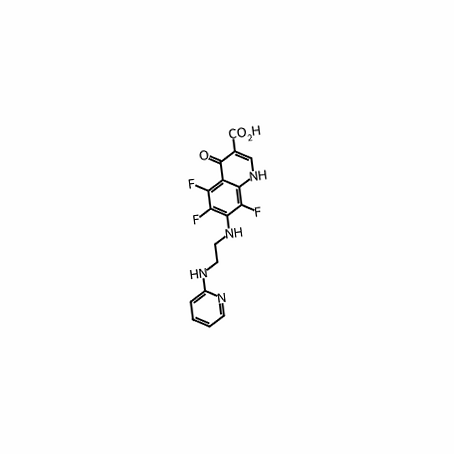 O=C(O)c1c[nH]c2c(F)c(NCCNc3ccccn3)c(F)c(F)c2c1=O